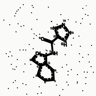 O=C(Nc1occ2ccccc12)c1nnn[nH]1